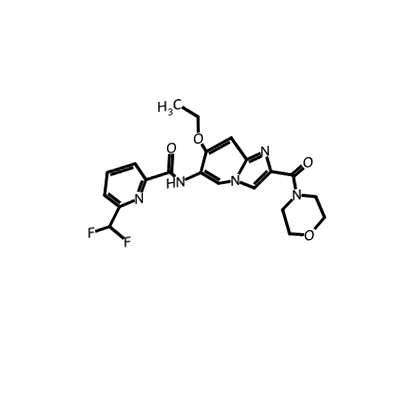 CCOc1cc2nc(C(=O)N3CCOCC3)cn2cc1NC(=O)c1cccc(C(F)F)n1